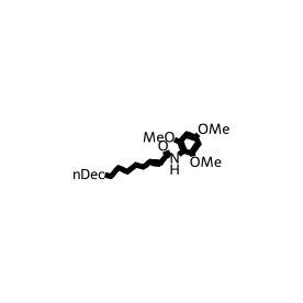 CCCCCCCCCCCCCCCC=CC(=O)Nc1c(OC)cc(OC)cc1OC